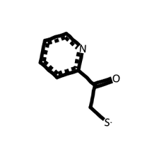 O=C(C[S])c1ccccn1